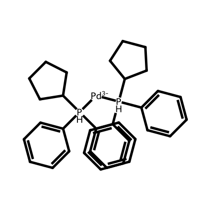 c1ccc([PH]([Pd-3][PH](c2ccccc2)(c2ccccc2)C2CCCC2)(c2ccccc2)C2CCCC2)cc1